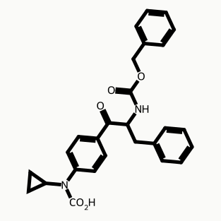 O=C(NC(Cc1ccccc1)C(=O)c1ccc(N(C(=O)O)C2CC2)cc1)OCc1ccccc1